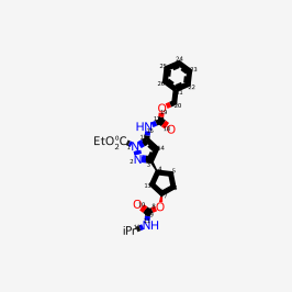 CCOC(=O)n1nc([C@H]2CC[C@@H](OC(=O)NC(C)C)C2)cc1NC(=O)OCc1ccccc1